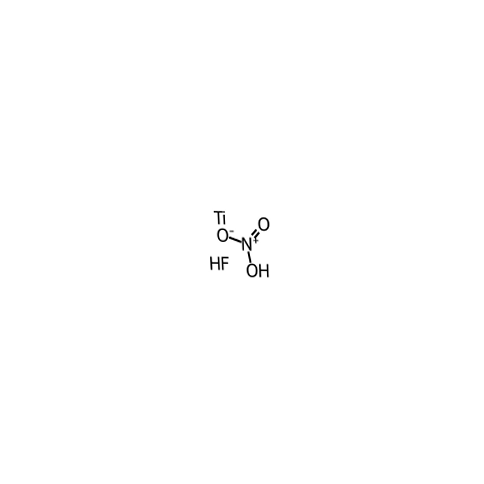 F.O=[N+]([O-])O.[Ti]